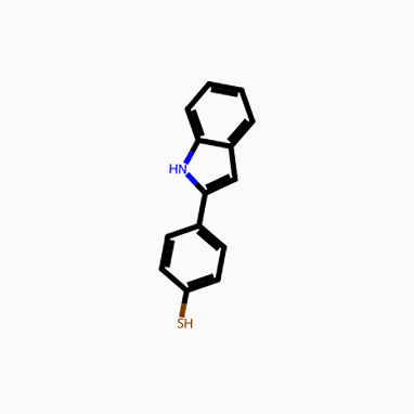 Sc1ccc(-c2cc3ccccc3[nH]2)cc1